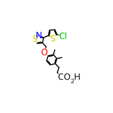 Cc1c(CCC(=O)O)ccc(OCc2csnc2-c2ccc(Cl)s2)c1C